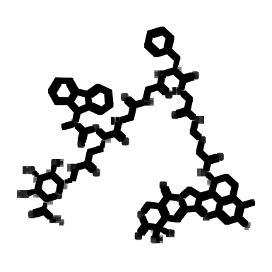 CC[C@@]1(O)C(=O)OCc2c1cc1n(c2=O)Cc2c-1nc1cc(F)c(C)c3c1c2[C@@H](NC(=O)COCNC(=O)CNC(=O)[C@H](Cc1ccccc1)NC(=O)CNC(=O)CNC(=O)[C@H](CCC(=O)NC[C@@H]1O[C@H](C(N)=O)[C@@H](O)[C@H](O)[C@H]1O)OC(=O)N(C)C1c2ccccc2-c2ccccc21)CC3